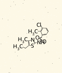 CCc1sc(NS(=O)(=O)c2cccc(Cl)c2C)nc1C